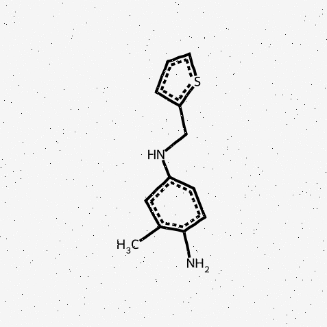 Cc1cc(NCc2cccs2)ccc1N